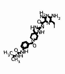 CC(C)NC(=O)Nc1cccc(C(=O)N2CCC3(CC2)CN/C(=N\C(=O)c2nc(CI)c(N)nc2N)N3)c1